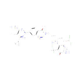 Nc1nc(-c2cc3ncn(CCC[C@H](COC(F)F)Nc4cn[nH]c(=O)c4C(F)(F)F)c(=O)c3cc2F)nc(C2CC2)c1Cl